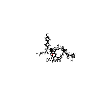 COc1ccc2cc1-c1cc(ccc1O)C[C@@H](C(=O)NCC(=O)c1nnn[nH]1)NC(=O)[C@H](C)NC(=O)[C@H]2N(C)C(=O)[C@H](CCCCN)NC(=O)c1ccc(-c2ccc(Cl)cc2)cc1